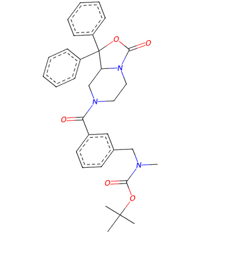 CN(Cc1cccc(C(=O)N2CCN3C(=O)OC(c4ccccc4)(c4ccccc4)C3C2)c1)C(=O)OC(C)(C)C